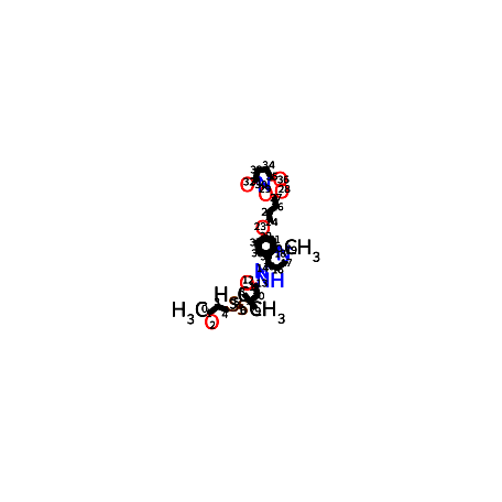 CC(=O)CCSSC(C)(C)CC(=O)N/N=C1\CCN(C)c2cc(OCCCC(=O)ON3C(=O)CCC3=O)ccc21